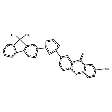 CC(C)(C)c1ccc2oc3ccc(-c4cccc(-c5ccc6c(c5)C(C)(C)c5ccccc5-6)c4)cc3c(=O)c2c1